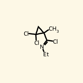 CCN=C(Cl)C1(C)CC1(Cl)Cl